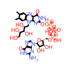 Cc1cc2nc3c(=O)[nH]c(=O)nc-3n(C[C@H](O)[C@H](O)[C@H](O)CO)c2cc1C.Nc1nc2c(ncn2[C@@H]2O[C@H](COP(=O)(O)OP(=O)(O)OP(=O)(O)O)[C@@H](O)[C@H]2O)c(=O)[nH]1